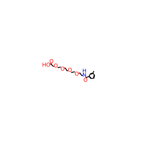 Cc1cccc(C(=O)NCCOCCOCCOCCOCC(=O)O)c1